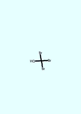 OC(Br)(Br)Br